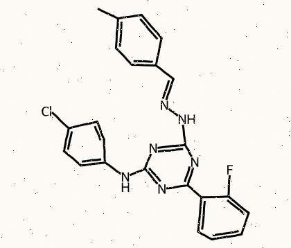 Cc1ccc(C=NNc2nc(Nc3ccc(Cl)cc3)nc(-c3ccccc3F)n2)cc1